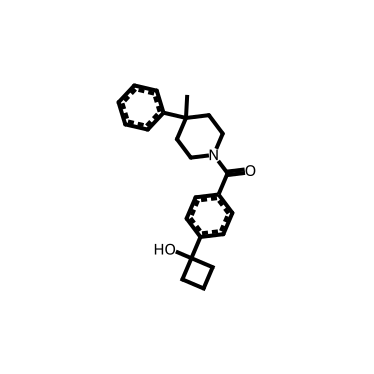 CC1(c2ccccc2)CCN(C(=O)c2ccc(C3(O)CCC3)cc2)CC1